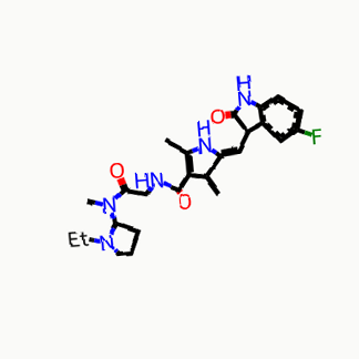 CCN1CCCC1N(C)C(=O)CNC(=O)C1=C(C)NC(=CC2C(=O)Nc3ccc(F)cc32)C1C